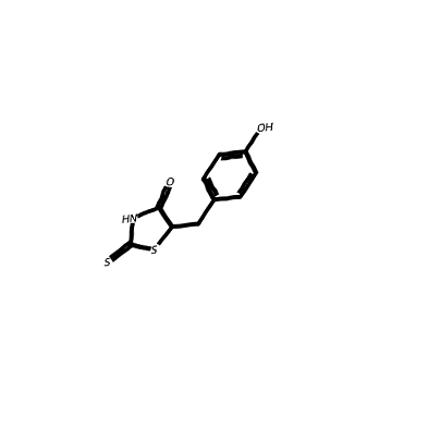 O=C1NC(=S)SC1Cc1ccc(O)cc1